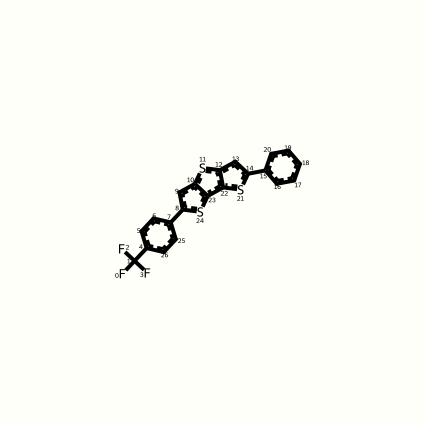 FC(F)(F)c1ccc(-c2cc3sc4cc(-c5ccccc5)sc4c3s2)cc1